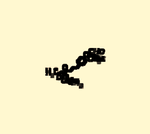 C=CCC(CC=C)(C(=O)CCCc1ccc(OC(C)(C=O)COCC)cc1)C(=O)OC